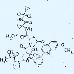 C=C[C@@H]1C[C@]1(NC(=O)[C@@H]1C[C@@H](Oc2cc(-c3ccccc3)nc3cc(OC)ccc23)CN1C(=O)[C@@H](CC(=O)N1CCC[C@H]1C(=O)N(C)C)C(C)(C)C)C(=O)NS(=O)(=O)C1CC1